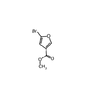 COC(=O)c1coc(Br)c1